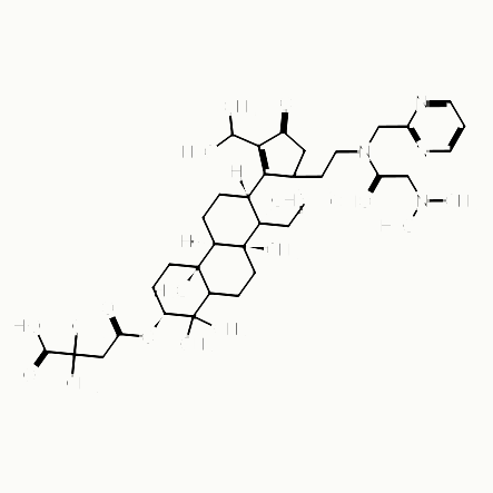 CC(C)C1=C2[C@H]3CC[C@@H]4[C@@]5(C)CC[C@H](OC(=O)CC(C)(C)C(=O)O)C(C)(C)C5CC[C@@]4(C)[C@]3(C)CC[C@@]2([C@@H](O)CN(Cc2ncccn2)C(=O)CN(C)C)CC1=O